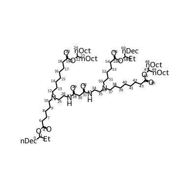 CCCCCCCCCCC(CC)OC(=O)CCCCCN(CCCCCCCC(=O)OC(CCCCCCCC)CCCCCCCC)CCNC(=O)CC(=O)NCCN(CCCCCCCC(=O)OC(CCCCCCCC)CCCCCCCC)CCCCCC(=O)OC(CC)CCCCCCCCCC